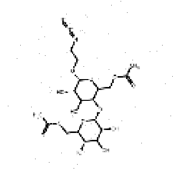 CC(=O)OCC1O[C@@H](O[C@@H]2C(COC(C)=O)O[C@@H](OCCN=[N+]=[N-])[C@@H](O)C2O)[C@@H](O)C(O)[C@H]1O